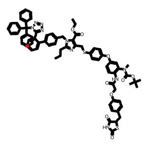 CCCc1nc(CSc2ccc(Oc3ccc(NC(=O)COc4ccc(CC5SC(=O)NC5=O)cc4)c(N(C)C(=O)OC(C)(C)C)c3)cc2)c(C(=O)OCC)n1Cc1ccc(-c2ccccc2-c2nnnn2C(c2ccccc2)(c2ccccc2)c2ccccc2)cc1